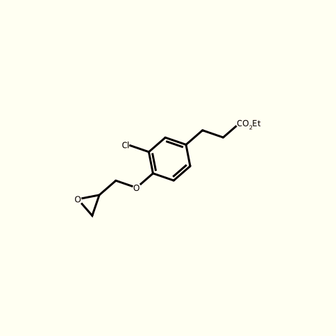 CCOC(=O)CCc1ccc(OCC2CO2)c(Cl)c1